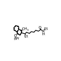 CCCOc1cc(C(CC)CCCCCCC(=O)NCC)c(C)c2ccccc12